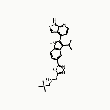 CC(C)c1c(-c2ccnc3[nH]ncc23)[nH]c2ccc(-c3nnc(CNCC(C)(C)C)o3)cc12